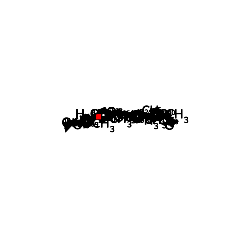 CC1(Oc2ccc(C(C)(C)c3ccc(OCC4CO4)cc3)cc2)CC(COc2ccc(C(C)(C)c3ccc(OC(C)(C)C4CO4)cc3)cc2)O1